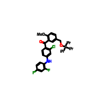 COc1ccc(CO[Si](C(C)C)(C(C)C)C(C)C)cc1C(=O)c1ccc(Nc2ccc(F)cc2F)cc1Cl